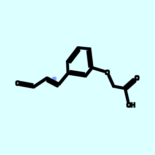 O=C/C=C/c1cccc(OCC(=O)O)c1